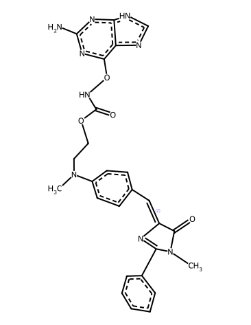 CN1C(=O)/C(=C/c2ccc(N(C)CCOC(=O)NOc3nc(N)nc4[nH]cnc34)cc2)N=C1c1ccccc1